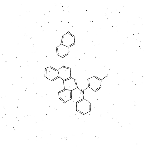 Cc1ccc(N(c2ccccc2)c2cc3cc(-c4ccc5ccccc5c4)c4ccccc4c3c3ccccc23)cc1